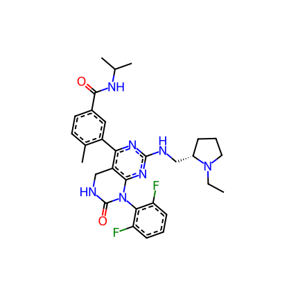 CCN1CCC[C@H]1CNc1nc(-c2cc(C(=O)NC(C)C)ccc2C)c2c(n1)N(c1c(F)cccc1F)C(=O)NC2